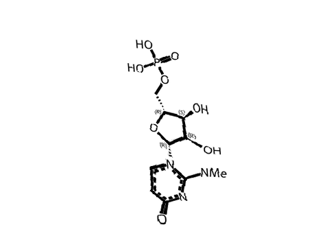 CNc1nc(=O)ccn1[C@@H]1O[C@H](COP(=O)(O)O)[C@@H](O)[C@H]1O